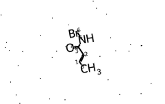 CC=CC(=O)NBr